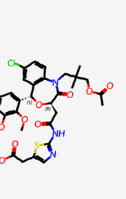 COc1cccc([C@H]2O[C@H](CC(=O)Nc3ncc(CC(=O)O)s3)C(=O)N(CC(C)(C)COC(C)=O)c3ccc(Cl)cc32)c1OC